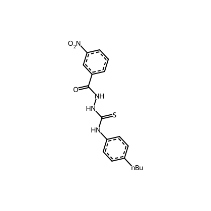 CCCCc1ccc(NC(=S)NNC(=O)c2cccc([N+](=O)[O-])c2)cc1